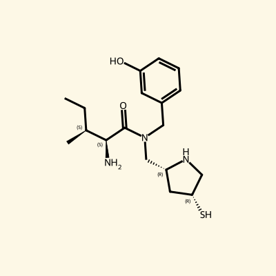 CC[C@H](C)[C@H](N)C(=O)N(Cc1cccc(O)c1)C[C@H]1C[C@@H](S)CN1